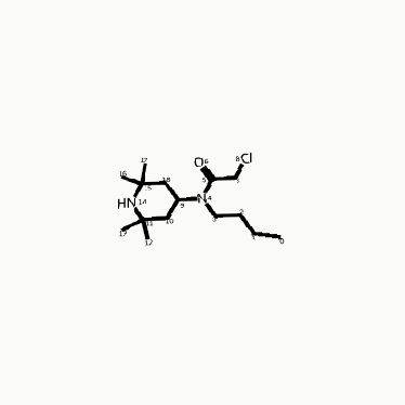 CCCCN(C(=O)CCl)C1CC(C)(C)NC(C)(C)C1